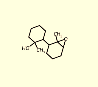 CC1(O)CCCCC1C1CCCC2OC21C